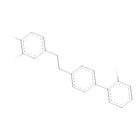 Fc1ccc(CCc2ccc(-c3ccccc3F)cc2)cc1F